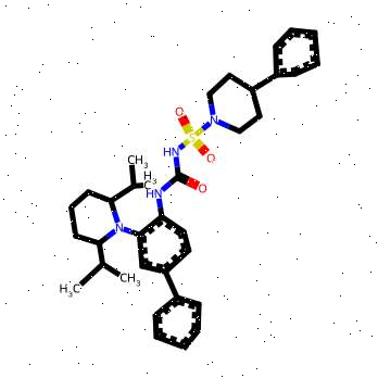 CC(C)C1CCCC(C(C)C)N1c1cc(-c2ccccc2)ccc1NC(=O)NS(=O)(=O)N1CCC(c2ccccc2)CC1